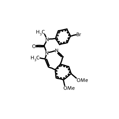 COc1cc2c(cc1OC)C=C(C)N(C(=O)N(C)c1ccc(Br)cc1)N=C2